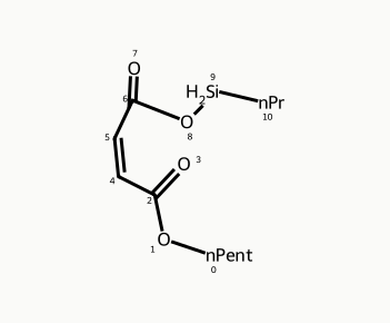 CCCCCOC(=O)/C=C\C(=O)O[SiH2]CCC